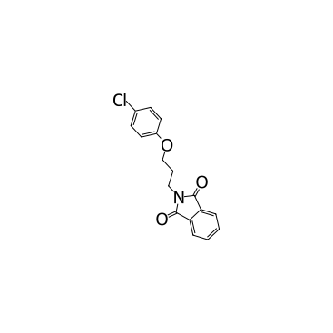 O=C1c2ccccc2C(=O)N1CCCOc1ccc(Cl)cc1